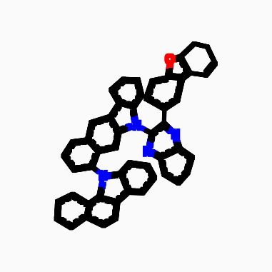 C1=Cc2c(oc3ccc(-c4nc5ccccc5nc4-n4c5ccccc5c5cc6cccc(-n7c8ccccc8c8ccc9ccccc9c87)c6cc54)cc23)CC1